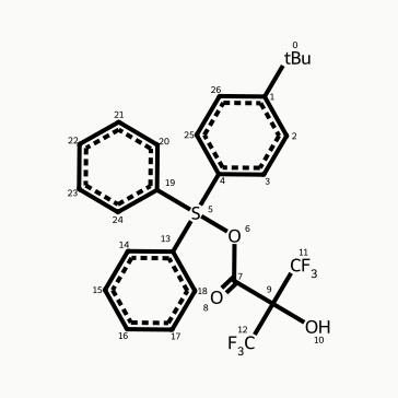 CC(C)(C)c1ccc(S(OC(=O)C(O)(C(F)(F)F)C(F)(F)F)(c2ccccc2)c2ccccc2)cc1